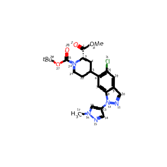 COC(=O)[C@@H]1CC(c2cc3c(cnn3-c3cnn(C)c3)cc2Cl)CCN1C(=O)OC(C)(C)C